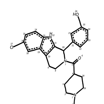 CN1CCC(C(=O)N2CCc3c([nH]c4ccc(Cl)cc34)C2c2cccc(O)c2)CC1